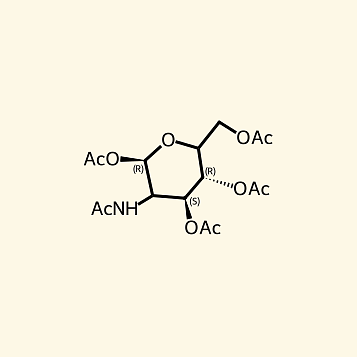 CC(=O)NC1[C@@H](OC(C)=O)OC(COC(C)=O)[C@H](OC(C)=O)[C@H]1OC(C)=O